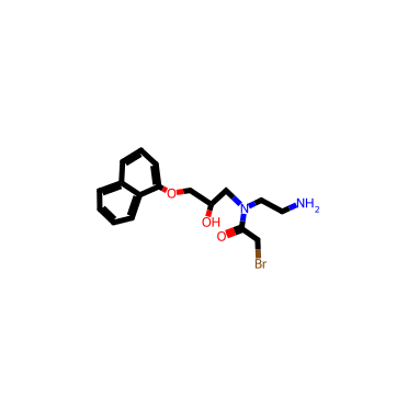 NCCN(CC(O)COc1cccc2ccccc12)C(=O)CBr